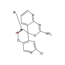 NC1=Nc2ncccc2C2(O1)c1cc(Br)ccc1Oc1cnc(Cl)cc12